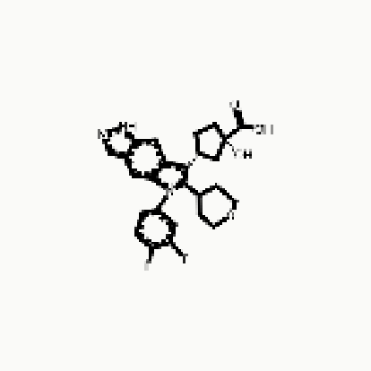 O=C(O)[C@]1(O)CC[C@@H](c2c(C3CCOCC3)n(-c3ccc(F)c(F)c3)c3cc4cn[nH]c4cc23)C1